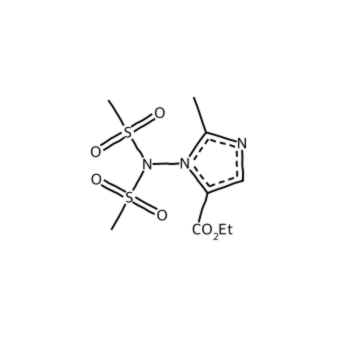 CCOC(=O)c1cnc(C)n1N(S(C)(=O)=O)S(C)(=O)=O